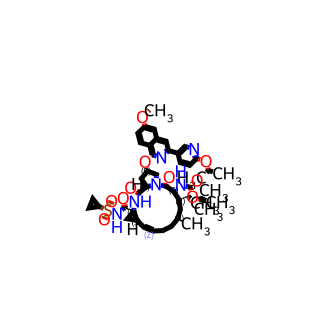 CC[C@@H]1C[C@H](C)CC/C=C\[C@@H]2C[C@@]2(C(=O)NS(=O)(=O)C2CC2)NC(=O)[C@@H]2C[C@@H](Oc3nc(-c4ccc(OC(C)C)nc4)cc4cc(OC)ccc34)CN2C(=O)[C@H]1NC(=O)OC(C)(C)C